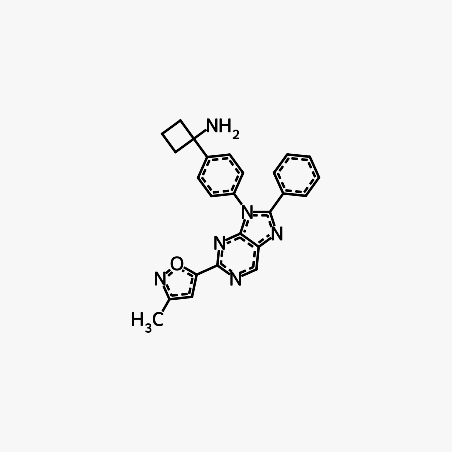 Cc1cc(-c2ncc3nc(-c4ccccc4)n(-c4ccc(C5(N)CCC5)cc4)c3n2)on1